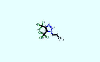 CCCn1nnc(C(F)(F)F)c1C(Cl)(Cl)Cl